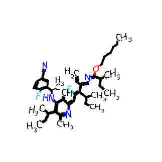 C=CC(=C\N=C(\OCCCCCC)C(C)CC)/C(=C(F)/C=c1/nc(C)c(C(C)CC)c(N[C@H](C)c2cc(C#N)ccc2F)c1=C)C(C)CC